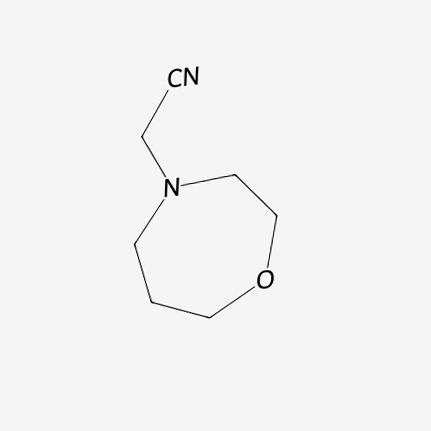 N#CCN1CCCOCC1